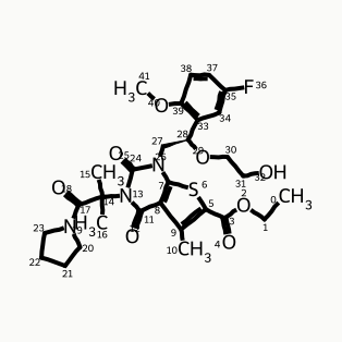 CCOC(=O)c1sc2c(c1C)c(=O)n(C(C)(C)C(=O)N1CCCC1)c(=O)n2C[C@H](OCCO)c1cc(F)ccc1OC